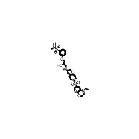 CCN1CCOc2ncc(S(=O)(=O)N3CCC4(CC3)CC(NC[C@H](O)COc3cccc(S(=O)(=O)NC)c3)CO4)cc21